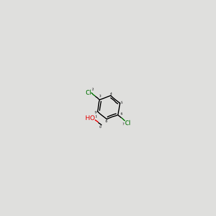 CO.Clc1ccc(Cl)cc1